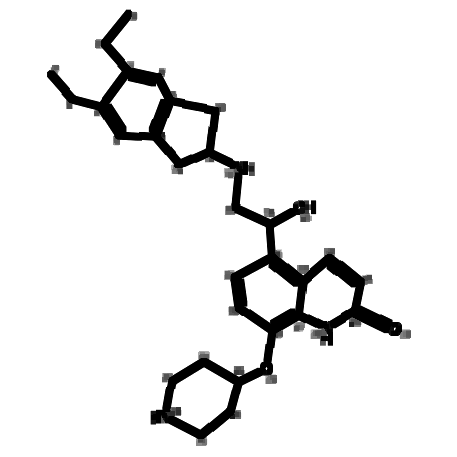 CCc1cc2c(cc1CC)CC(NCC(O)c1ccc(OC3CCNCC3)c3[nH]c(=O)ccc13)C2